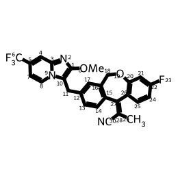 COc1nc2cc(C(F)(F)F)ccn2c1Cc1ccc2c(c1)COc1cc(F)ccc1C2=C(C)C#N